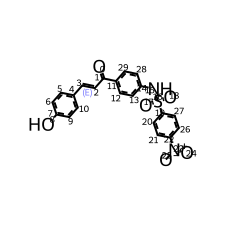 O=C(/C=C/c1ccc(O)cc1)c1ccc(NS(=O)(=O)c2ccc([N+](=O)[O-])cc2)cc1